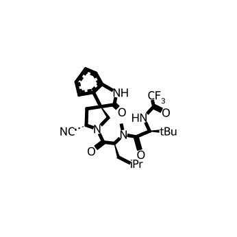 CC(C)C[C@@H](C(=O)N1C[C@]2(C[C@H]1C#N)C(=O)Nc1ccccc12)N(C)C(=O)[C@@H](NC(=O)C(F)(F)F)C(C)(C)C